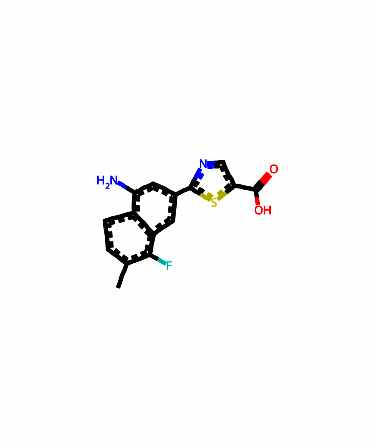 Cc1ccc2c(N)cc(-c3ncc(C(=O)O)s3)cc2c1F